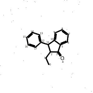 CCC1C(=O)c2ccccc2C1c1ccccc1